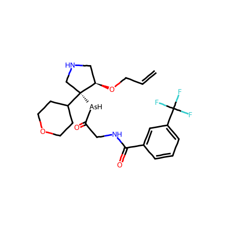 C=CCO[C@@H]1CNC[C@]1([AsH]C(=O)CNC(=O)c1cccc(C(F)(F)F)c1)C1CCOCC1